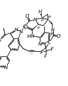 CC(=O)c1nn2c3c(cc(-c4cnc(C)nc4)cc13)C/C=C\CCCC(=O)NC[C@@]13C[C@@H](C(=O)Nc4nc(C(F)(F)F)ccc4C)N(C(=O)C2)[C@@H]1C3